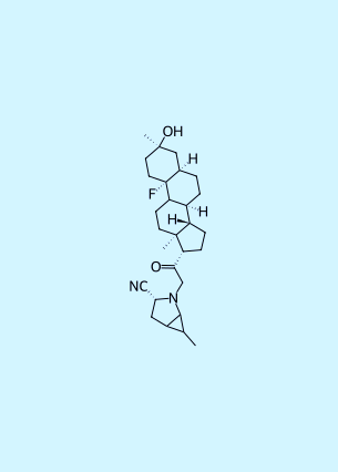 CC1C2C[C@H](C#N)N(CC(=O)[C@H]3CC[C@H]4[C@@H]5CC[C@@H]6C[C@](C)(O)CC[C@]6(F)C5CC[C@]34C)C12